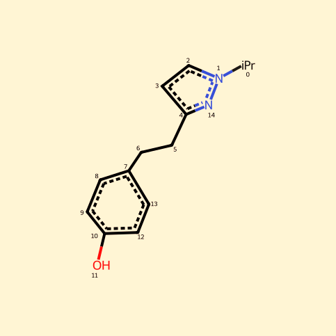 CC(C)n1ccc(CCc2ccc(O)cc2)n1